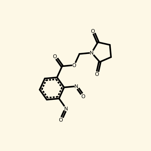 O=Nc1cccc(C(=O)OCN2C(=O)CCC2=O)c1N=O